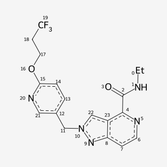 CCNC(=O)c1nccc2nn(Cc3ccc(OCCC(F)(F)F)nc3)cc12